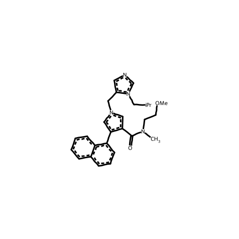 COCCN(C)C(=O)c1cn(Cc2cncn2CC(C)C)cc1-c1cccc2ccccc12